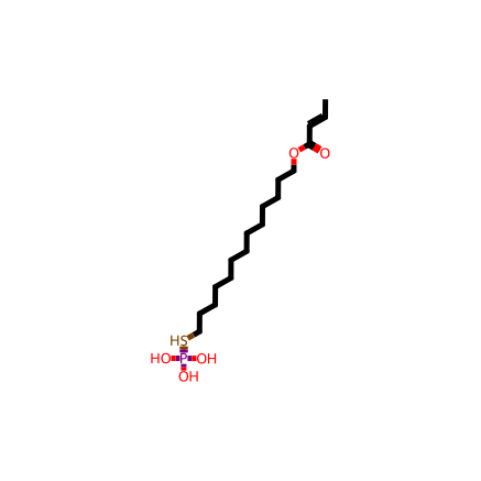 CC=CC(=O)OCCCCCCCCCCCCC[SH]=P(O)(O)O